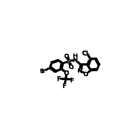 O=S(=O)(Nc1noc2cccc(Cl)c12)c1ccc(Br)cc1OC(F)(F)F